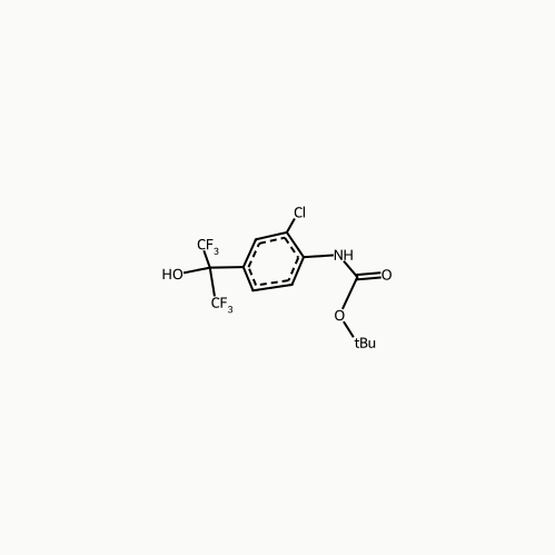 CC(C)(C)OC(=O)Nc1ccc(C(O)(C(F)(F)F)C(F)(F)F)cc1Cl